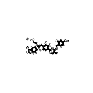 COCCn1c(Cc2c(F)cc(-c3ncc(F)c(OCc4ccc(C#N)cc4F)n3)c(F)c2F)nc2ccc(C(=O)OC)cc21